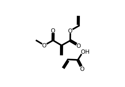 C=CC(=O)O.C=COC(=O)C(=C)C(=O)OC